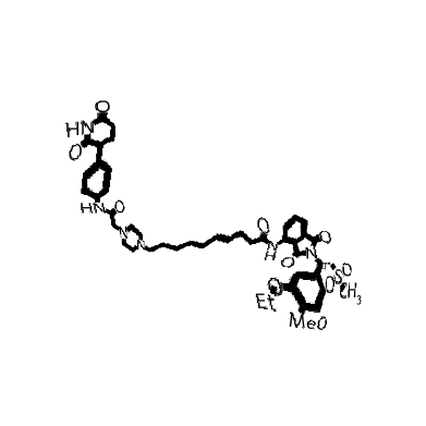 CCOc1cc([C@@H](CS(C)(=O)=O)N2C(=O)c3cccc(NC(=O)CCCCCCCCCN4CCN(CC(=O)Nc5ccc(C6CCC(=O)NC6=O)cc5)CC4)c3C2=O)ccc1OC